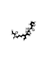 C=C/C(=C\CCCN(C)C(=O)CC)c1csc(NC(=O)c2ccco2)n1